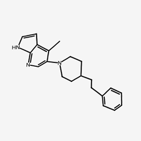 Cc1c(N2CCC(CCc3ccccc3)CC2)cnc2[nH]ccc12